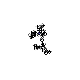 CC(C)(C)OOC(=O)NC[C@H](O)Cn1cc(-c2ccc(OC[C@H](O/N=C(\C(=O)N[C@@H]3C(=O)N(OS(=O)(=O)[O-])C3(C)C)c3csc(NC(=O)OC(C)(C)C)n3)C(=O)OC(C)(C)C)cc2)c[n+]1CC1CN(C(=O)OC(C)(C)C)C1